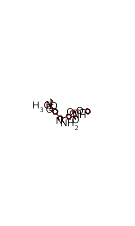 CN(C1CC1)S(=O)(=O)c1ccc(-c2cnc(N)c(-c3ccc4c(c3)OC[C@@H](COCc3ccccc3)NC4=O)c2)cc1